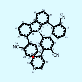 N#Cc1ccc(-n2c3c(-c4ccccc4C#N)cccc3c3cccc(-c4ccccc4C#N)c32)cc1-c1ccncc1